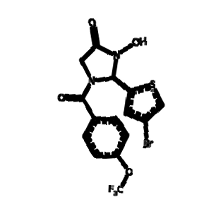 O=C1CN(C(=O)c2ccc(OC(F)(F)F)cc2)C(c2cc(Br)cs2)N1O